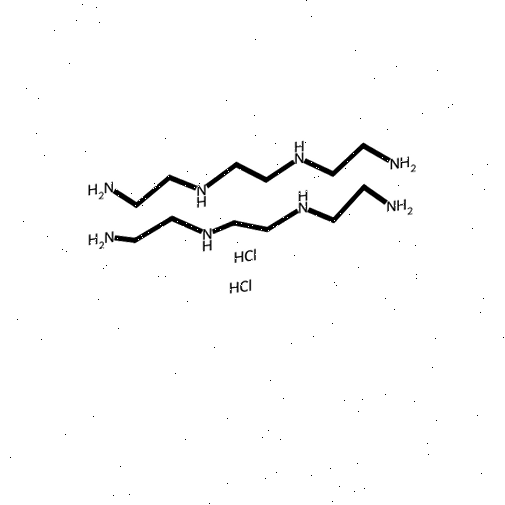 Cl.Cl.NCCNCCNCCN.NCCNCCNCCN